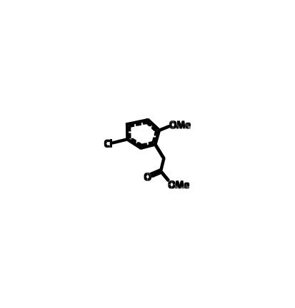 COC(=O)Cc1cc(Cl)ccc1OC